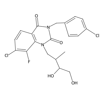 CC(Cn1c(=O)n(Cc2ccc(Cl)cc2)c(=O)c2ccc(Cl)c(F)c21)C(O)CO